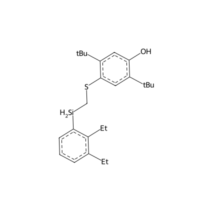 CCc1cccc([SiH2]CSc2cc(C(C)(C)C)c(O)cc2C(C)(C)C)c1CC